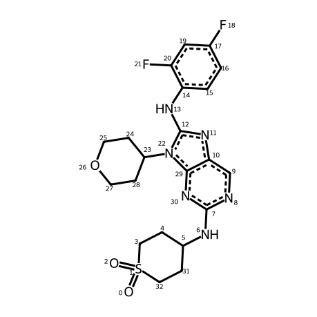 O=S1(=O)CCC(Nc2ncc3nc(Nc4ccc(F)cc4F)n(C4CCOCC4)c3n2)CC1